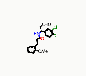 COc1ccccc1CCC(=O)N[C@@H](CC=O)c1ccc(Cl)c(Cl)c1